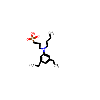 CCCCN(CCCS(=O)(=O)O)c1cc(CC)cc(CC)c1